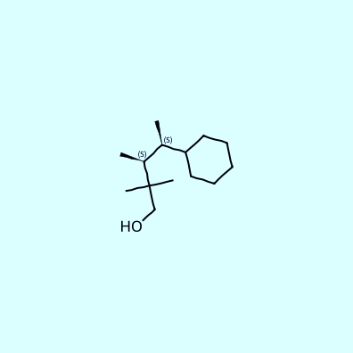 C[C@@H](C1CCCCC1)[C@H](C)C(C)(C)CO